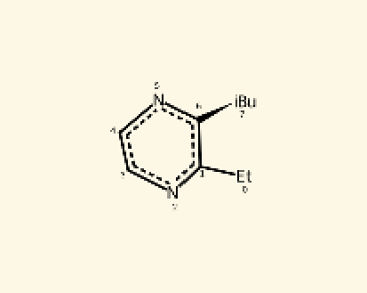 CCc1nccnc1[C@H](C)CC